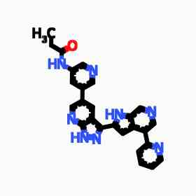 CCC(=O)Nc1cncc(-c2cnc3[nH]nc(-c4cc5c(-c6ccccn6)cncc5[nH]4)c3c2)c1